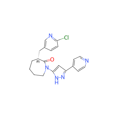 O=C1[C@@H](Cc2ccc(Cl)nc2)CCCCN1c1cc(-c2ccncc2)n[nH]1